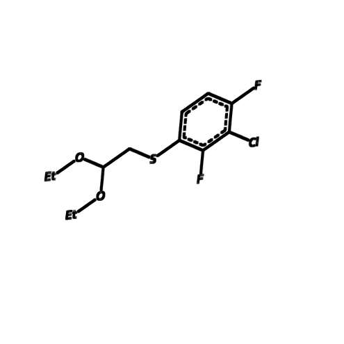 CCOC(CSc1ccc(F)c(Cl)c1F)OCC